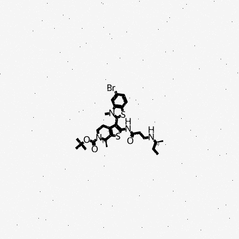 CC[C@H](C)NCCC(=O)Nc1sc2c(c1C1Sc3ccc(Br)cc3N1C)CCN(C(=O)OC(C)(C)C)[C@@H]2C